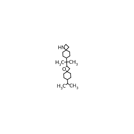 CC(C)C1CCC2(CC1)CC(C(C)(C)C1CCC3(CCN3)CC1)O2